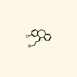 Clc1ccc2c(c1)/C(=C\CCBr)c1ccccc1CC2